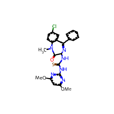 COc1cc(OC)nc(NC(=S)NC2N=C(c3ccccc3)c3cc(Cl)ccc3N(C)C2=O)n1